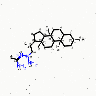 CCC[C@H]1CC[C@H]2C(CC[C@@H]3C2CC[C@@]2(C)C3CCC2[C@@H](C)CN(N)/N=C(/C)N)C1